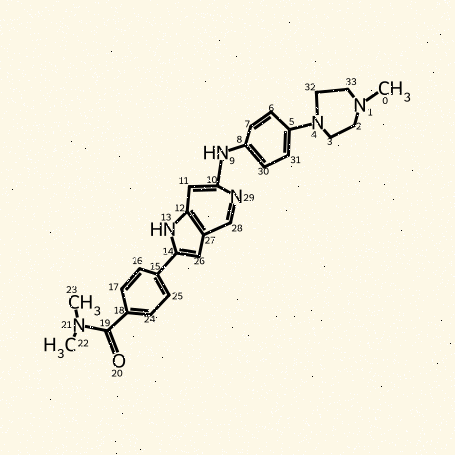 CN1CCN(c2ccc(Nc3cc4[nH]c(-c5ccc(C(=O)N(C)C)cc5)cc4cn3)cc2)CC1